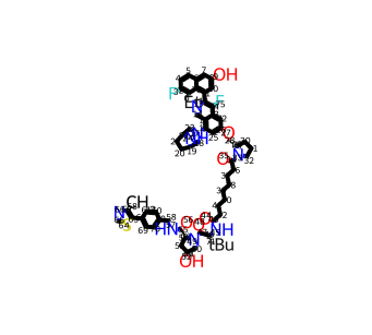 CCc1c(F)ccc2cc(O)cc(-c3ncc4c(N5CC6CCC(C5)N6)cc(OC[C@@H]5CCCN5C(=O)CCCCCCCC(=O)NC(C(=O)N5C[C@H](O)C[C@H]5C(=O)NCc5ccc(-c6scnc6C)cc5)C(C)(C)C)cc4c3F)c12